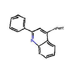 CCCCCc1cc(-c2ccccc2)nc2ccccc12